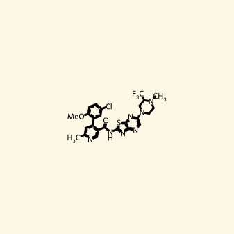 COc1ccc(Cl)cc1-c1cc(C)ncc1C(=O)Nc1nc2ncc(N3CCN(C)C(C(F)(F)F)C3)nc2s1